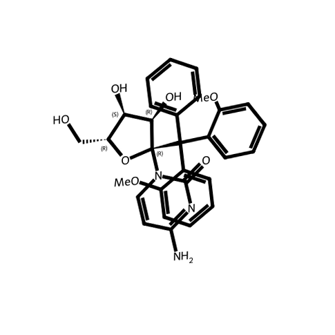 COc1ccccc1C(c1ccccc1)(c1ccccc1OC)[C@@]1(n2ccc(N)nc2=O)O[C@H](CO)[C@@H](O)[C@H]1O